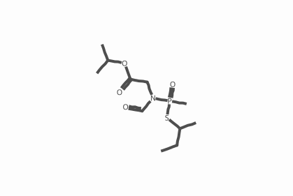 CCC(C)SP(C)(=O)N(C=O)CC(=O)OC(C)C